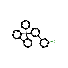 Clc1cccc(-c2cccc(C3(c4ccccc4)c4ccccc4-c4ccccc43)c2)c1